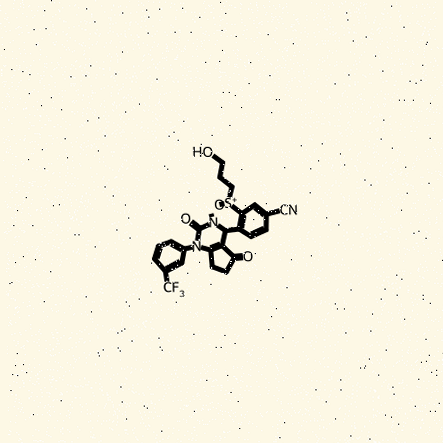 CN1C(=O)N(c2cccc(C(F)(F)F)c2)C2=C(C(=O)CC2)C1c1ccc(C#N)cc1[S+]([O-])CCCO